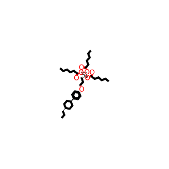 CCCCCC(=O)O[Si](CCCOc1ccc([C@H]2CC[C@H](CCC)CC2)cc1)(OC(=O)CCCCC)OC(=O)CCCCC